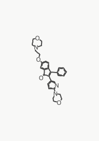 O=C1C(c2ccc(N3CCOCC3)nc2)=C(c2ccccc2)c2ccc(OCCN3CCOCC3)cc21